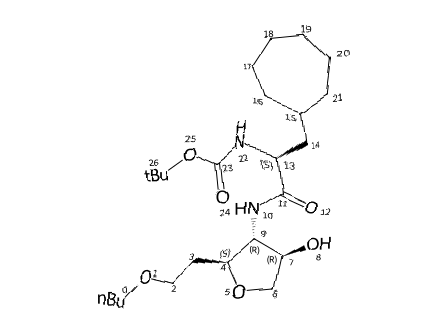 CCCCOCC[C@@H]1OC[C@H](O)[C@H]1NC(=O)[C@H](CC1CCCCCC1)NC(=O)OC(C)(C)C